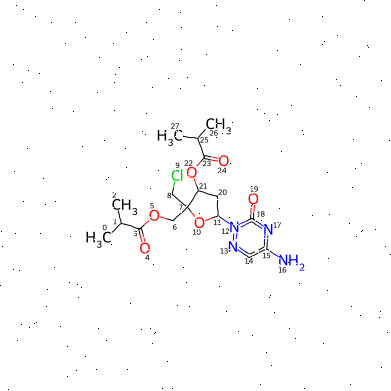 CC(C)C(=O)OCC1(CCl)OC(n2ncc(N)nc2=O)CC1OC(=O)C(C)C